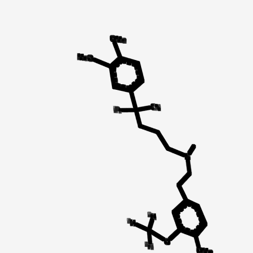 [2H]C([2H])([2H])Oc1cc(CCN(C)CCCC(C#N)(c2ccc(OC)c(OC)c2)C(C)C)ccc1OC